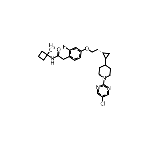 CC1(NC(=O)Cc2ccc(OCC[C@@H]3CC3C3CCN(c4ncc(Cl)cn4)CC3)cc2F)CCC1